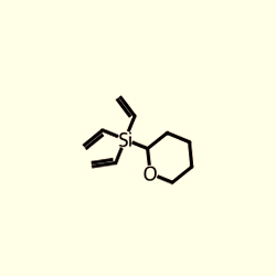 C=C[Si](C=C)(C=C)C1CCCCO1